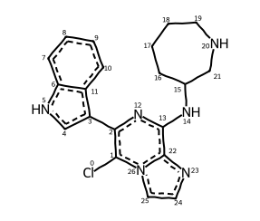 Clc1c(-c2c[nH]c3ccccc23)nc(NC2CCCCNC2)c2nccn12